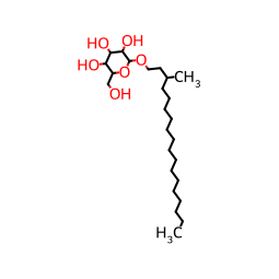 CCCCCCCCCCCCCCCC(C)CCOC1OC(CO)C(O)C(O)C1O